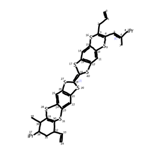 C=CCC1=C(/C=C(\C)C(C)C)Sc2cc3c(cc2S1)S/C(=C1/Sc2cc4c(cc2S1)SC1=C(S4)C(C=C)CC(C(C)C)C1C)S3